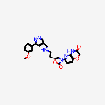 COc1cccc(-c2cc(CNCC[C@H]3CN(c4ccc5c(n4)NC(=O)CO5)C(=O)O3)cnn2)c1